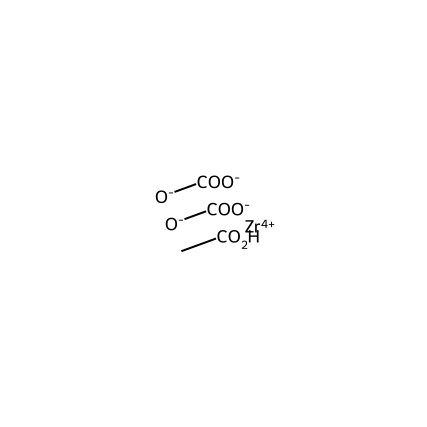 CC(=O)O.O=C([O-])[O-].O=C([O-])[O-].[Zr+4]